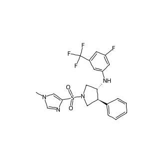 Cn1cnc(S(=O)(=O)N2C[C@H](Nc3cc(F)cc(C(F)(F)F)c3)[C@@H](c3ccccc3)C2)c1